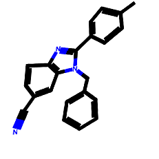 Cc1ccc(-c2nc3ccc(C#N)cc3n2Cc2ccccc2)cc1